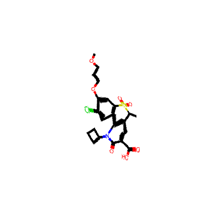 COCCCOc1cc2c(cc1Cl)-c1c(cc(C(=O)O)c(=O)n1C1CCC1)C(C)S2(=O)=O